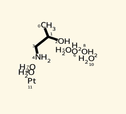 CC(O)CN.O.O.O.O.O.O.[Pt]